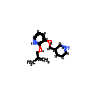 CC(C)COc1ncccc1OCC1CCCNC1